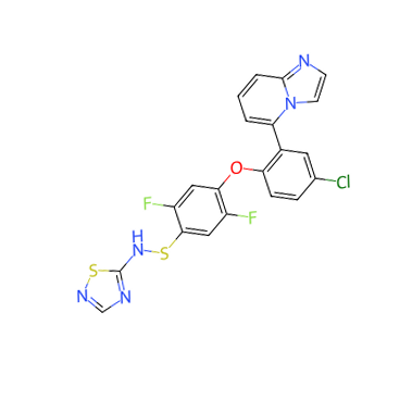 Fc1cc(SNc2ncns2)c(F)cc1Oc1ccc(Cl)cc1-c1cccc2nccn12